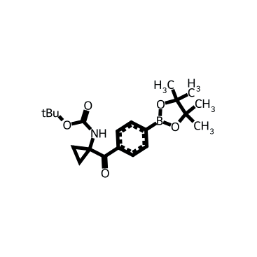 CC(C)(C)OC(=O)NC1(C(=O)c2ccc(B3OC(C)(C)C(C)(C)O3)cc2)CC1